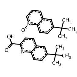 CC(C)(C)c1ccc2c(ccc[n+]2[O-])c1.CC(C)(C)c1ccc2nc(C(=O)O)ccc2c1